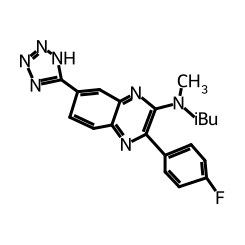 CCC(C)N(C)c1nc2cc(-c3nnn[nH]3)ccc2nc1-c1ccc(F)cc1